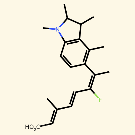 CC(/C=C/C(F)=C(/C)c1ccc2c(c1C)C(C)C(C)N2C)=C\C(=O)O